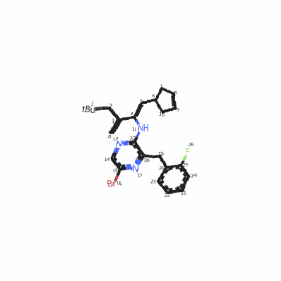 C=C(CC(C)(C)C)/C(=C/C1CC=CC1)Nc1ncc(Br)nc1Cc1ccccc1F